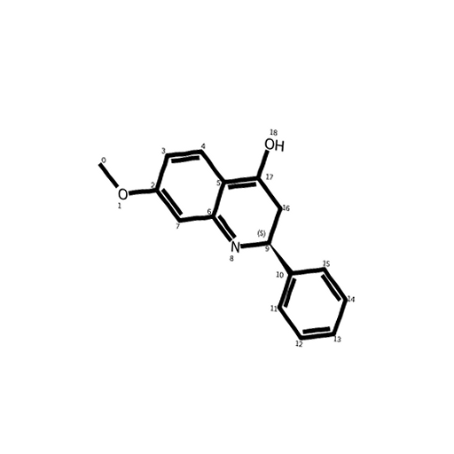 COc1ccc2c(c1)=N[C@H](c1ccccc1)CC=2O